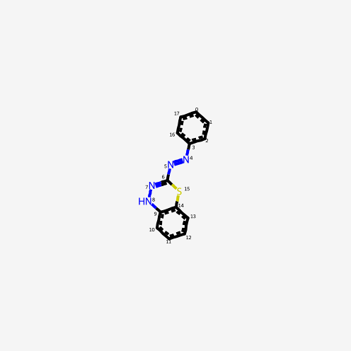 c1ccc(N=NC2=NNc3ccccc3S2)cc1